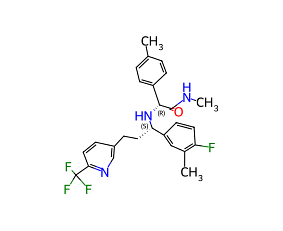 CNC(=O)[C@H](N[C@@H](CCc1ccc(C(F)(F)F)nc1)c1ccc(F)c(C)c1)c1ccc(C)cc1